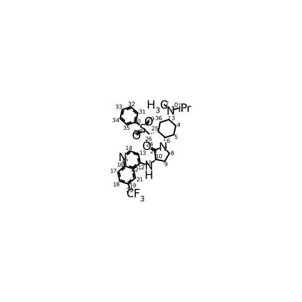 CC(C)N(C)[C@@H]1CC[C@H](N2CC[C@@H](Nc3ccnc4ccc(C(F)(F)F)cc34)C2=O)[C@H](CS(=O)(=O)c2ccccc2)C1